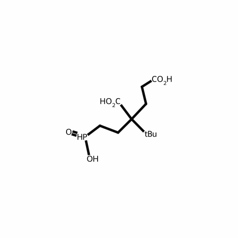 CC(C)(C)C(CCC(=O)O)(CC[PH](=O)O)C(=O)O